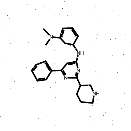 CN(C)C1=CC=CC(Nc2cc(-c3ccccc3)nc(C3CCCNC3)n2)C1